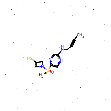 C=S(=O)(c1cnc(NCC#CC)cn1)N1CC(S)C1